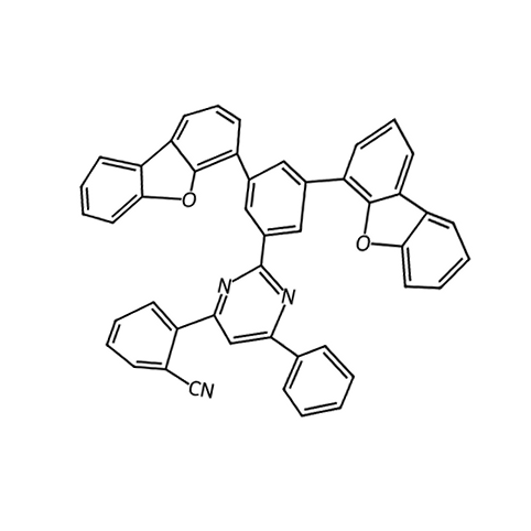 N#Cc1ccccc1-c1cc(-c2ccccc2)nc(-c2cc(-c3cccc4c3oc3ccccc34)cc(-c3cccc4c3oc3ccccc34)c2)n1